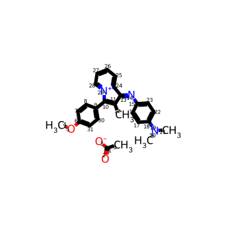 CC(=O)[O-].COc1ccc(C2=C(C)/C(=N\c3ccc(N(C)C)cc3)c3cccc[n+]32)cc1